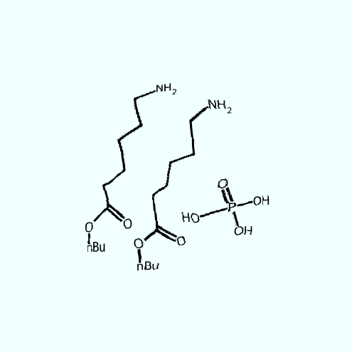 CCCCOC(=O)CCCCCN.CCCCOC(=O)CCCCCN.O=P(O)(O)O